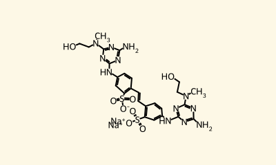 CN(CCO)c1nc(N)nc(Nc2ccc(C=Cc3ccc(Nc4nc(N)nc(N(C)CCO)n4)cc3S(=O)(=O)[O-])c(S(=O)(=O)[O-])c2)n1.[Na+].[Na+]